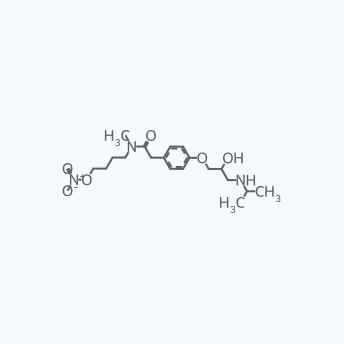 CC(C)NCC(O)COc1ccc(CC(=O)N(C)CCCCO[N+](=O)[O-])cc1